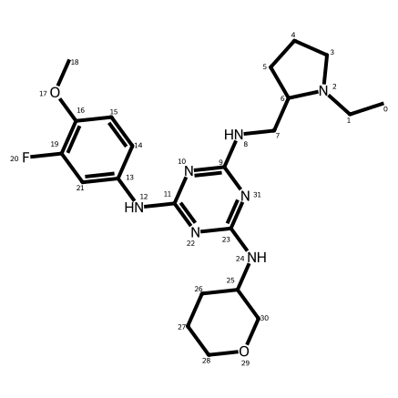 CCN1CCCC1CNc1nc(Nc2ccc(OC)c(F)c2)nc(NC2CCCOC2)n1